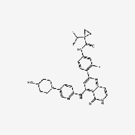 O=C(Nc1ccc(-c2cc(Nc3ccc(N4CCC(O)CC4)cn3)c3c(=O)[nH]ccc3n2)c(F)c1)C1(C(F)F)CC1